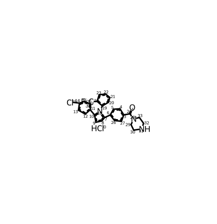 Cl.O=C(c1ccc(-c2ccc(-c3ccc(Cl)cc3)n2-c2ccccc2C(F)(F)F)cc1)N1CCNCC1